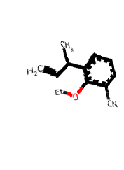 C=C[C](C)c1cccc(C#N)c1OCC